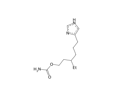 CCC(CCCc1c[nH]cn1)CCOC(N)=O